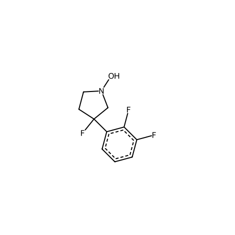 ON1CCC(F)(c2cccc(F)c2F)C1